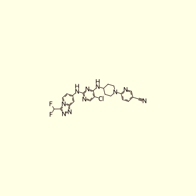 N#Cc1ccc(N2CCC(Nc3nc(Nc4ccn5c(C(F)F)nnc5c4)ncc3Cl)CC2)nc1